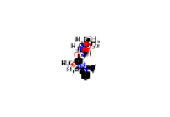 COc1cc(C(=O)N2C[C@H]3C[C@H](N(C)C)[C@@H]2[C@@H]3NC(=O)OC(C)(C)C)cc2nc(-c3cc4ccccc4n3CC3CC3)n(C)c12